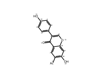 CC(=O)c1cc2c(=O)c(-c3ccc(O)cc3)coc2cc1O